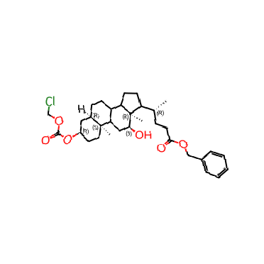 C[C@H](CCC(=O)OCc1ccccc1)C1CCC2C3CC[C@@H]4C[C@H](OC(=O)OCCl)CC[C@]4(C)C3C[C@H](O)[C@@]21C